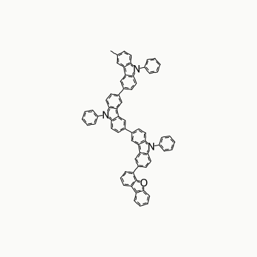 Cc1ccc2c(c1)c1cc(-c3ccc4c(c3)c3cc(-c5ccc6c(c5)c5cc(-c7cccc8c7oc7ccccc78)ccc5n6-c5ccccc5)ccc3n4-c3ccccc3)ccc1n2-c1ccccc1